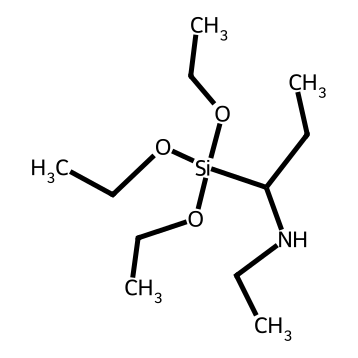 CCNC(CC)[Si](OCC)(OCC)OCC